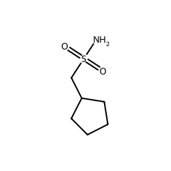 NS(=O)(=O)CC1CCCC1